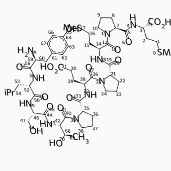 CSCC[C@H](NC(=O)[C@@H]1CCCN1C(=O)[C@H](CCSC)NC(=O)[C@@H]1CCCN1C(=O)[C@H](CCC(=O)O)NC(=O)[C@@H]1CCCN1C(=O)[C@@H](NC(=O)[C@H](CO)NC(=O)[C@H](CC(C)C)NC(=O)[C@@H](N)Cc1ccc(O)cc1)[C@@H](C)O)C(=O)O